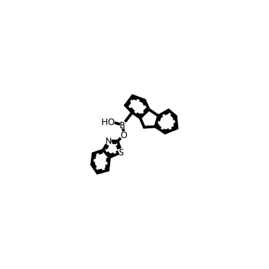 OB(Oc1nc2ccccc2s1)c1cccc2c1Cc1ccccc1-2